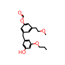 CCCOc1cc(O)cc(Cc2cc(CCOC)cc(OC=O)c2)c1